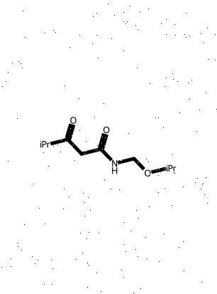 CC(C)OCNC(=O)CC(=O)C(C)C